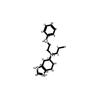 CCCN(CCOc1ccccc1)C1CCc2ncsc2C1